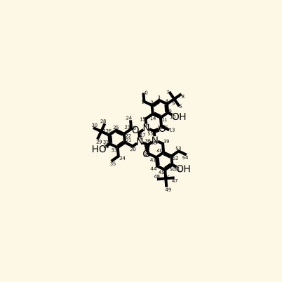 CCc1cc(C(C)(C)C)c(O)c(CC)c1Cn1c(=O)n(Cc2c(CC)cc(C(C)(C)C)c(O)c2CC)c(=O)n(Cc2c(CC)cc(C(C)(C)C)c(O)c2CC)c1=O